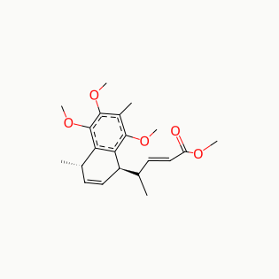 COC(=O)C=CC(C)[C@H]1C=C[C@H](C)c2c(OC)c(OC)c(C)c(OC)c21